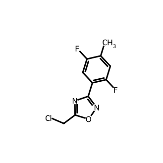 Cc1cc(F)c(-c2noc(CCl)n2)cc1F